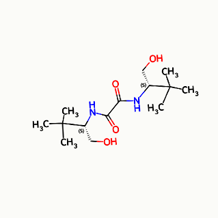 CC(C)(C)[C@@H](CO)NC(=O)C(=O)N[C@H](CO)C(C)(C)C